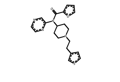 O=C(c1ccco1)N(c1cnccn1)C1CCN(CCc2ccsc2)CC1